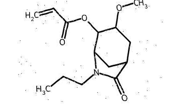 C=CC(=O)OC1C(OC)CC2CC1N(CCC)C2=O